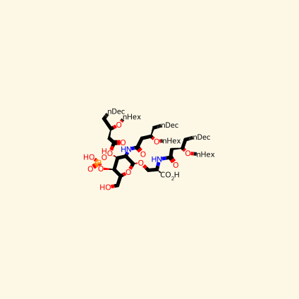 CCCCCCCCCCC[C@H](CC(=O)NC1[C@H](OC[C@H](NC(=O)C[C@@H](CCCCCCCCCCC)OCCCCCC)C(=O)O)OC(CO)[C@@H](OP(=O)(O)O)[C@@H]1OC(=O)C[C@@H](CCCCCCCCCCC)OCCCCCC)OCCCCCC